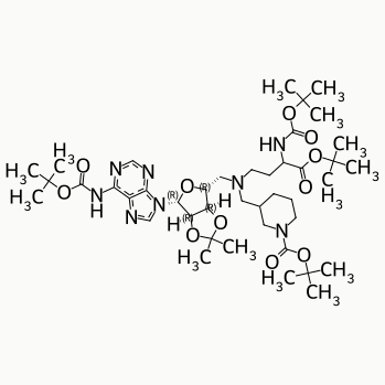 CC(C)(C)OC(=O)Nc1ncnc2c1ncn2[C@@H]1O[C@H](CN(CCC(NC(=O)OC(C)(C)C)C(=O)OC(C)(C)C)CC2CCCN(C(=O)OC(C)(C)C)C2)[C@H]2OC(C)(C)O[C@H]21